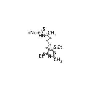 CCCCCCCCCC(=S)NC(C)CCCCc1c(SCC)nc(C)nc1SCC